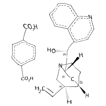 C=C[C@H]1CN2CC[C@H]1C[C@H]2[C@H](O)c1ccnc2ccccc12.O=C(O)c1ccc(C(=O)O)cc1